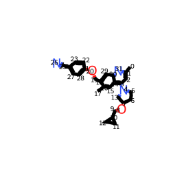 Cc1cc(N2CCC(OCC3CC3)C2)c2cc(C)c(COc3ccc(C#N)cc3)cc2n1